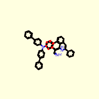 N=C/C(=C1\NC(c2ccccc2)=Cc2cccc(-c3ccc(N(c4ccc(-c5ccccc5)cc4)c4ccc(-c5ccccc5)cc4)cc3)c21)c1ccccc1